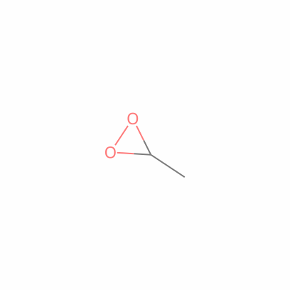 CC1OO1